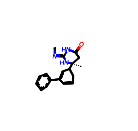 C/N=C1\NC(=O)C[C@@](C)(C2C=C(c3ccccc3)C=CC2)N1